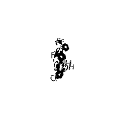 O=C(Nc1ccc(Oc2ccccc2SC(F)(F)F)c(C(F)(F)F)c1)c1cc(Cl)ccc1O